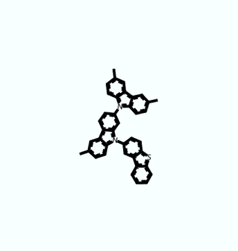 Cc1ccc2c(c1)c1cc(C)ccc1n2-c1ccc2c3cc(C)ccc3n(-c3ccc4sc5ccccc5c4c3)c2c1